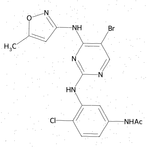 CC(=O)Nc1ccc(Cl)c(Nc2ncc(Br)c(Nc3cc(C)on3)n2)c1